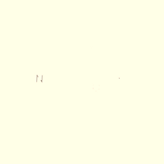 c1ccc(N(c2ccccc2)c2ccc(-c3cccc4c3Oc3ccccc3C4(c3ccccc3)c3ccccc3)cc2)cc1